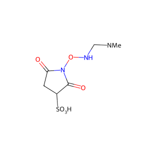 CNCNON1C(=O)CC(S(=O)(=O)O)C1=O